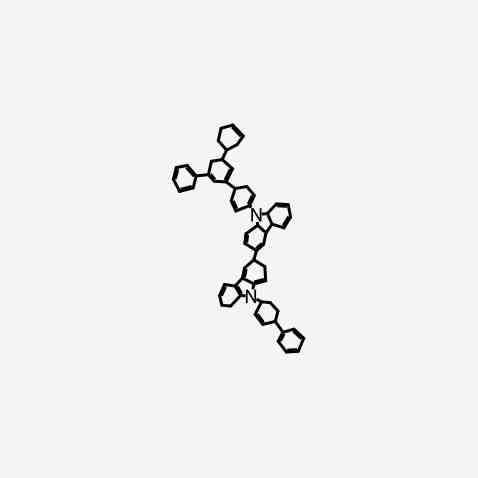 C1=CC2C3C=C(C4C=c5c6c(n(C7C=CC(c8ccccc8)CC7)c5=CC4)CCC=C6)C=CC3N(C3=CCC(C4=CC(C5CC=CCC5)CC(c5ccccc5)=C4)C=C3)C2C=C1